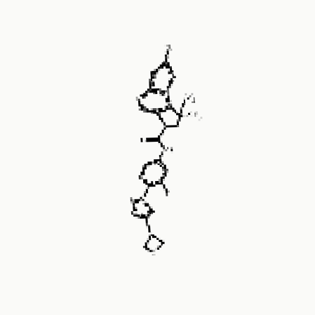 CC1(C)CC(C(=O)Nc2cnc(-n3cc(C4COC4)nn3)c(Cl)c2)c2cnc3cc(Cl)nn3c21